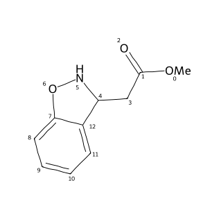 COC(=O)CC1NOc2ccccc21